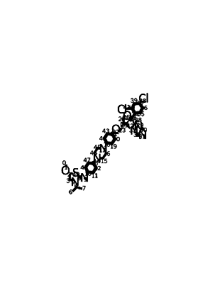 COC1CN(C(C)C)C(=Nc2ccc(N3CCN(c4ccc(OC[C@@H]5CO[C@@](Cn6cncn6)(c6ccc(Cl)cc6Cl)O5)cc4)CC3)cc2)S1